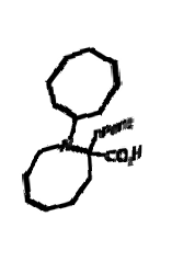 CCCCCC1(C(=O)O)CCCCCCN1C1CCCCCCC1